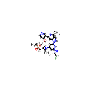 COc1ccncc1-c1cc2c(cnn2-c2cc(N3C[C@H](CS(C)(=O)=O)[C@H]3C)cc(NCCF)n2)c(C)n1